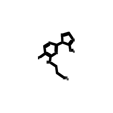 Cc1ncnn1-c1ncc(F)c(NCCN)n1